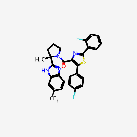 CC1(c2nc3ccc(C(F)(F)F)cc3[nH]2)CCCN1C(=O)c1nc(-c2ccccc2F)sc1-c1ccc(F)cc1